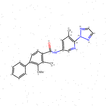 COc1c(-c2ccccc2)ccc(C(=O)Nc2cnc(-n3nccn3)c(C(F)(F)F)c2)c1C(F)(F)F